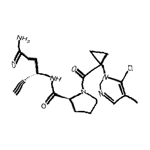 C#C[C@H](CC(N)=O)NC(=O)[C@@H]1CCCN1C(=O)C1(n2ncc(C)c2Cl)CC1